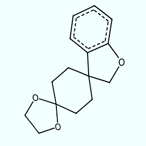 c1ccc2c(c1)OCC21CCC2(CC1)OCCO2